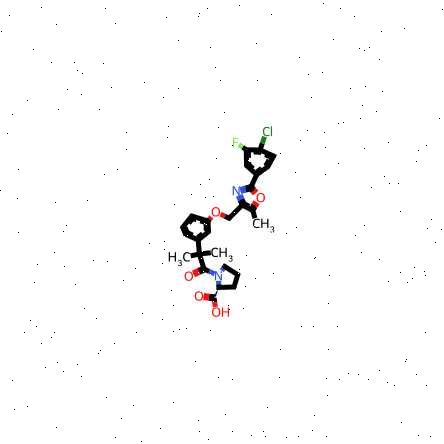 Cc1oc(-c2ccc(Cl)c(F)c2)nc1COc1cccc(C(C)(C)C(=O)N2CCC[C@@H]2C(=O)O)c1